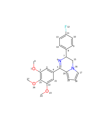 COc1cc(C2=NC(c3ccc(F)cc3)Cn3cccc32)cc(OC)c1OC